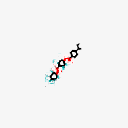 CCC(C)c1ccc(C(=O)Oc2c(F)c(F)c(C(=O)Oc3c(F)c(F)c(C(F)(F)F)c(F)c3F)c(F)c2F)cc1